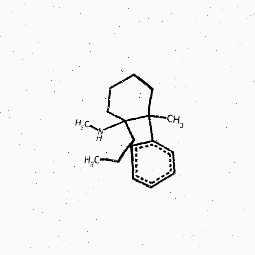 CCCC1(NC)CCCCC1(C)c1ccccc1